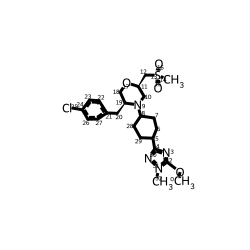 COc1nc(C2CCC(N3C[C@H](CS(C)(=O)=O)OC[C@@H]3Cc3ccc(Cl)cc3)CC2)nn1C